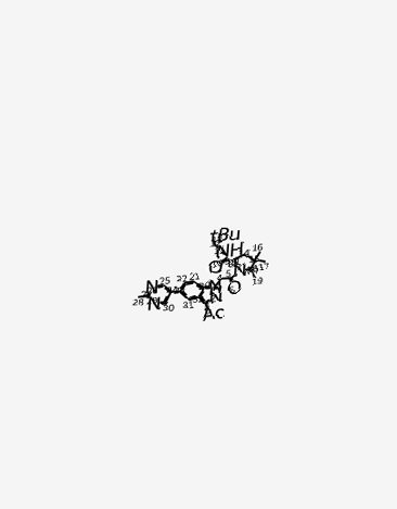 CC(=O)c1nn(CC(=O)N2[C@H](C(=O)NCC(C)(C)C)CC(C)(C)[C@H]2C)c2ccc(-c3cnc(C)nc3)cc12